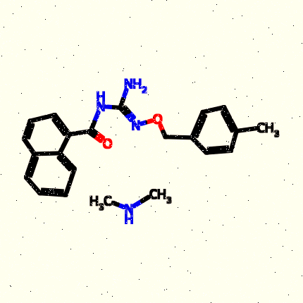 CNC.Cc1ccc(CON=C(N)NC(=O)c2cccc3ccccc23)cc1